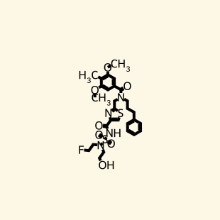 COc1cc(C(=O)N(CCCc2ccccc2)Cc2nc(C(=O)NS(=O)(=O)N(CCO)CCF)cs2)cc(OC)c1C